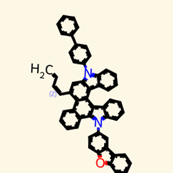 C=C/C=C\c1cc2c(c3ccccc3n2-c2ccc(-c3ccccc3)cc2)c2c1c1ccccc1c1c2c2ccccc2n1-c1ccc2oc3ccccc3c2c1